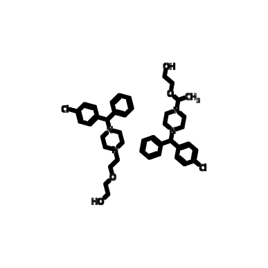 CC(OCCO)N1CCN(C(c2ccccc2)c2ccc(Cl)cc2)CC1.OCCOCCN1CCN(C(c2ccccc2)c2ccc(Cl)cc2)CC1